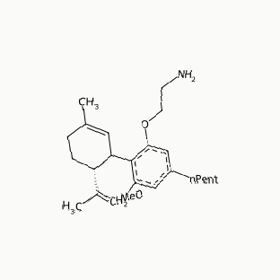 C=C(C)[C@@H]1CCC(C)=CC1c1c(OC)cc(CCCCC)cc1OCCN